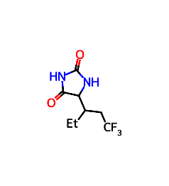 CCC(CC(F)(F)F)C1NC(=O)NC1=O